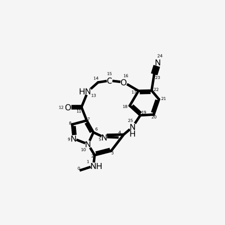 CNc1cc2nc3c(cnn13)C(=O)NCCOc1cc(ccc1C#N)N2